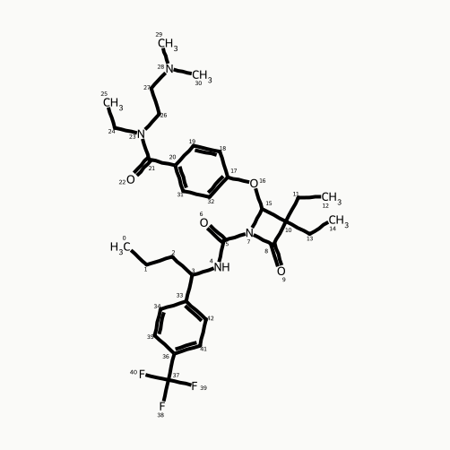 CCCC(NC(=O)N1C(=O)C(CC)(CC)C1Oc1ccc(C(=O)N(CC)CCN(C)C)cc1)c1ccc(C(F)(F)F)cc1